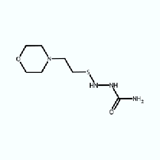 NC(=O)NNSCCN1CCOCC1